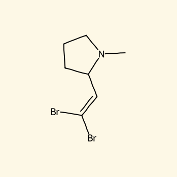 CN1CCCC1C=C(Br)Br